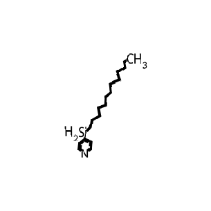 CCCCCCCCCCCCC[SiH2]c1ccncc1